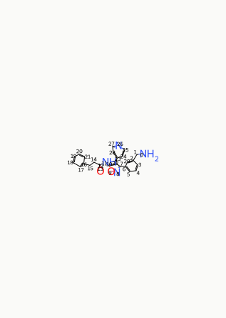 NCc1cccc(-c2noc(NC(=O)CCc3ccccc3)c2-c2ccncc2)c1